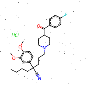 CCCCC(C#N)(CCCN1CCC(C(=O)c2ccc(F)cc2)CC1)c1ccc(OC)c(OC)c1.Cl